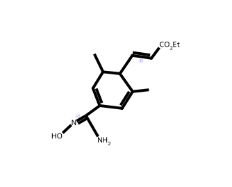 CCOC(=O)/C=C/C1C(C)=CC(/C(N)=N/O)=CC1C